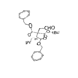 CC(C)C[C@@H](C(=O)OCc1ccccc1)C(CC=O)(C(=O)OCc1ccccc1)C(=O)OC(C)(C)C